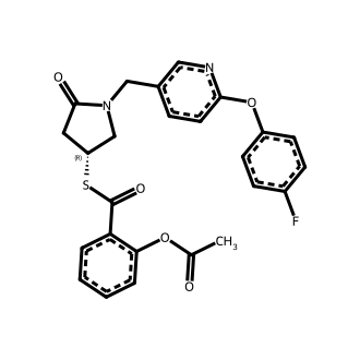 CC(=O)Oc1ccccc1C(=O)S[C@@H]1CC(=O)N(Cc2ccc(Oc3ccc(F)cc3)nc2)C1